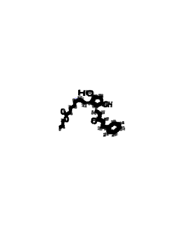 CCCOC(=O)CCC/C=C\C[C@@H]1[C@@H](CCC(=O)CCc2ccccc2)[C@H](O)C[C@@H]1O